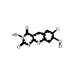 CCCCn1c(=O)nc2oc3cc(OCC)c(Cl)cc3cc-2c1=O